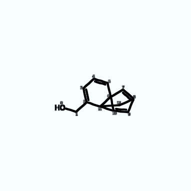 OCC1=CC=CC23C=C4C=C2C13C4